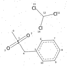 CS(=O)(=O)Cc1ccccc1.ClC(Cl)Cl